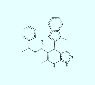 CC1=C(C(=O)OC(C)c2ccccc2)C(c2sc3ccccc3c2C)c2cn[nH]c2N1